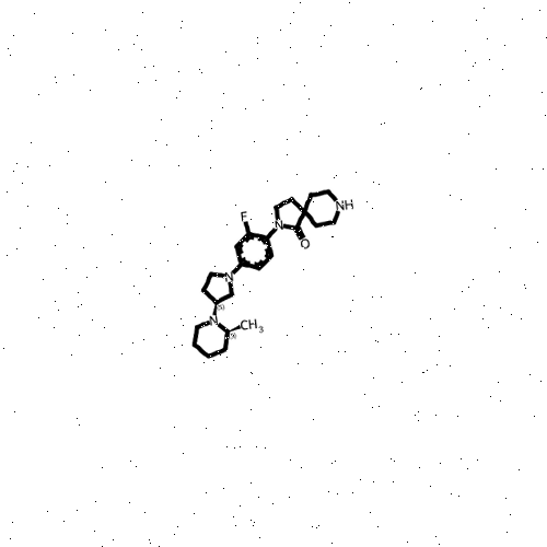 C[C@H]1CCCCN1[C@H]1CCN(c2ccc(N3CCC4(CCNCC4)C3=O)c(F)c2)C1